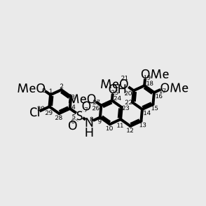 COc1ccc(S(=O)(=O)Nc2cc(/C=C\c3cc(OC)c(OC)c(OC)c3)cc(O)c2OC)cc1Cl